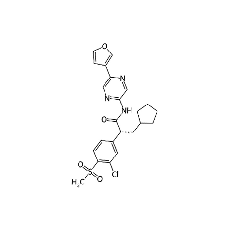 CS(=O)(=O)c1ccc([C@@H](CC2CCCC2)C(=O)Nc2cnc(-c3ccoc3)cn2)cc1Cl